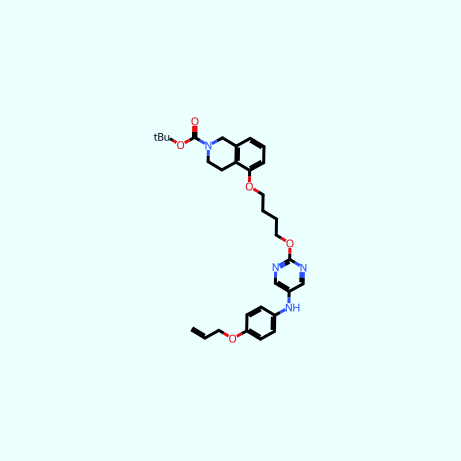 C=CCOc1ccc(Nc2cnc(OCCCCOc3cccc4c3CCN(C(=O)OC(C)(C)C)C4)nc2)cc1